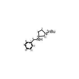 CCCCN1CCC(NCc2ccccc2)C1